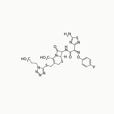 Nc1nc(/C(=N/Oc2ccc(F)cc2)C(=O)NC2C(=O)N3C(C(=O)O)=C(CSc4nnnn4CCC(=O)O)CS[C@H]23)ns1